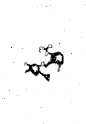 CCC(=O)Oc1cccc(F)c1COc1cc(F)c(C)cc1C1CC1